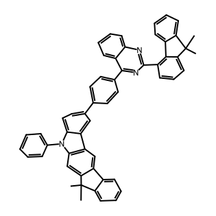 CC1(C)c2ccccc2-c2cc3c4cc(-c5ccc(-c6nc(-c7cccc8c7-c7ccccc7C8(C)C)nc7ccccc67)cc5)ccc4n(-c4ccccc4)c3cc21